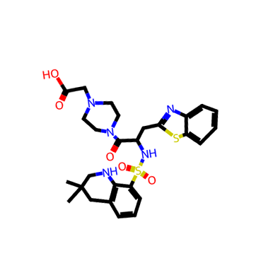 CC1(C)CNc2c(cccc2S(=O)(=O)NC(Cc2nc3ccccc3s2)C(=O)N2CCN(CC(=O)O)CC2)C1